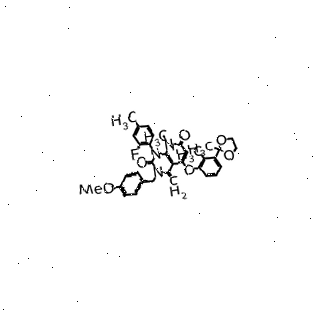 C=C1c2c(Oc3cccc(C4(C)OCCO4)c3C)cc(=O)n(C)c2N(c2ccc(C)cc2F)C(=O)N1Cc1ccc(OC)cc1